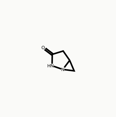 O=C1CC2CN2N1